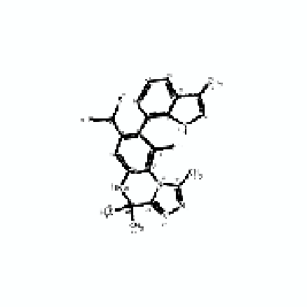 Cc1c[nH]c2c(-c3c(C(F)F)cc4c(c3F)-n3c(C)nnc3C(C)(C)N4)cccc12